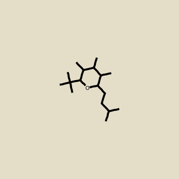 CC(C)CCC1OC(C(C)(C)C)C(C)C(C)C1C